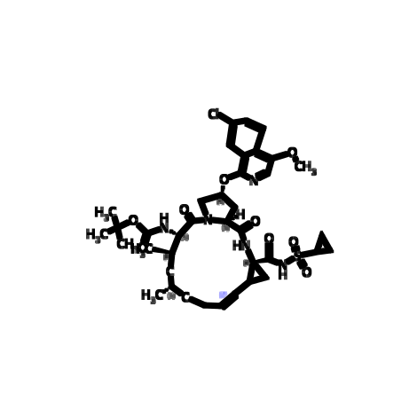 COc1cnc(O[C@@H]2C[C@H]3C(=O)N[C@]4(C(=O)NS(=O)(=O)C5CC5)CC4/C=C\CC[C@H](C)C[C@@H](C)[C@H](NC(=O)OC(C)(C)C)C(=O)N3C2)c2cc(Cl)ccc12